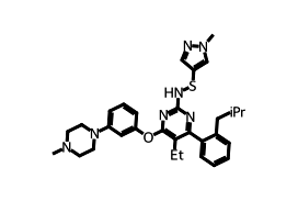 CCc1c(Oc2cccc(N3CCN(C)CC3)c2)nc(NSc2cnn(C)c2)nc1-c1ccccc1CC(C)C